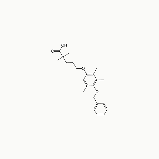 Cc1cc(OCCCC(C)(C)C(=O)O)c(C)c(C)c1OCc1ccccc1